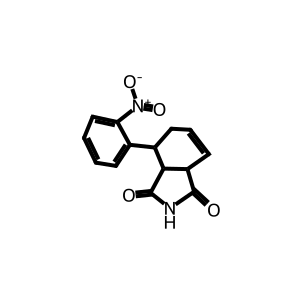 O=C1NC(=O)C2C1C=CCC2c1ccccc1[N+](=O)[O-]